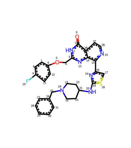 O=c1[nH]c(COc2ccc(F)cc2)nc2c(-c3csc(NC4CCN(Cc5ccccc5)CC4)n3)nccc12